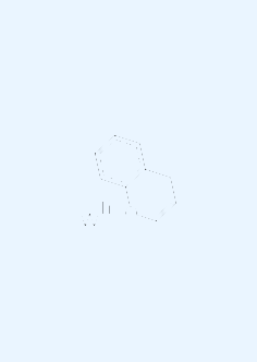 C1=COc2ccccc2C1.[Ti].[W]